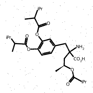 CC(C)C(=O)O[C@@H](C)CC(N)(Cc1ccc(OC(=O)C(C)C(C)C)c(OC(=O)C(C)C(C)C)c1)C(=O)O